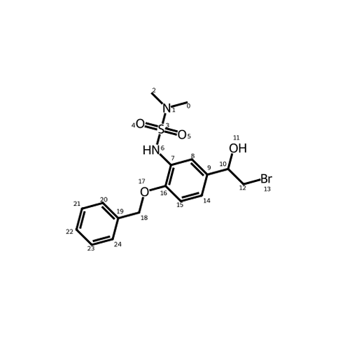 CN(C)S(=O)(=O)Nc1cc(C(O)CBr)ccc1OCc1ccccc1